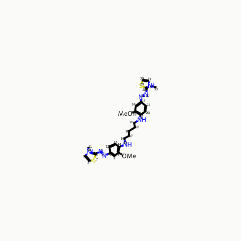 COc1cc(/N=N/c2scc[n+]2C)ccc1NCCCCCNc1ccc(/N=N/c2scc[n+]2C)cc1OC